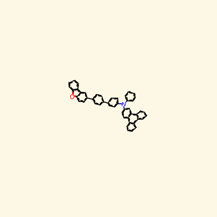 c1ccc(N(c2ccc(-c3ccc(-c4ccc5oc6ccccc6c5c4)cc3)cc2)c2ccc3c4ccccc4c4ccccc4c3c2)cc1